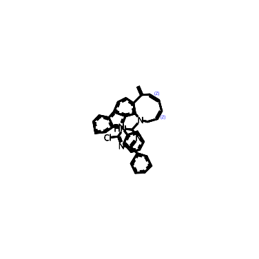 C=C1/C=C\C=C/CN(C2N=C(c3ccccc3)N=C(Cl)N2)c2c1ccc1c3ccccc3n(-c3ccccc3)c21